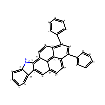 c1ccc(-c2cc(-c3ccccc3)c3ccc4c5[nH]c6ccccc6c5cc5ccc2c3c54)cc1